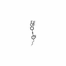 CCCCc1ccc(C#Cc2ccc(OC(F)(F)F)cc2)nc1